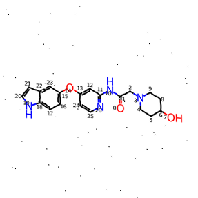 O=C(CN1CCC(O)CC1)Nc1cc(Oc2ccc3[nH]ccc3c2)ccn1